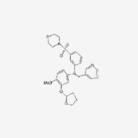 COc1ccc(N(Cc2cccnc2)c2cccc(S(=O)(=O)N3CCOCC3)c2)cc1OC1CCCO1